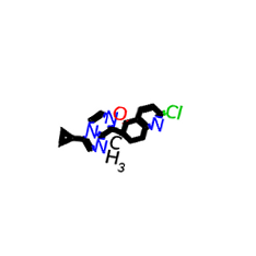 CC1(c2nccn3c(C4CC4)cnc23)CCc2nc(Cl)ccc2C1=O